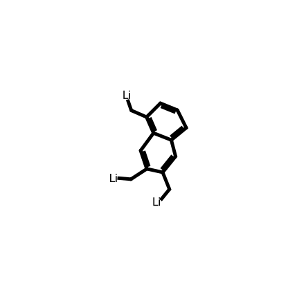 [Li][CH2]c1cc2cccc([CH2][Li])c2cc1[CH2][Li]